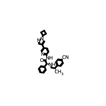 C[C@H](CN[C@H](C(=O)Nc1ccc(-c2cnn(C3CCC3)c2)cn1)c1ccccc1)c1ccc(C#N)cc1